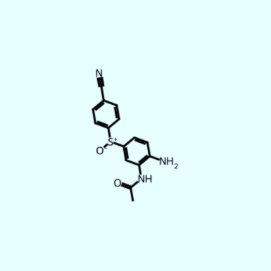 CC(=O)Nc1cc([S+]([O-])c2ccc(C#N)cc2)ccc1N